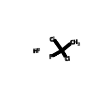 CC(F)(Cl)Cl.F